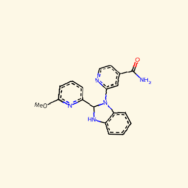 COc1cccc(C2Nc3ccccc3N2c2cc(C(N)=O)ccn2)n1